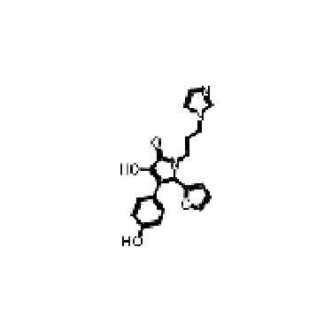 O=C1C(O)=C(c2ccc(O)cc2)C(c2ccco2)N1CCCn1ccnc1